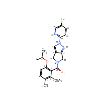 COc1c(C#N)ccc(O[C@@H](C)C(F)(F)F)c1C(=O)N1Cc2cn(-c3ccc(F)cn3)nc2C1